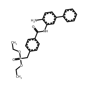 CCOP(=O)(Cc1ccc(C(=O)Nc2cc(-c3ccccc3)ccc2N)cc1)OCC